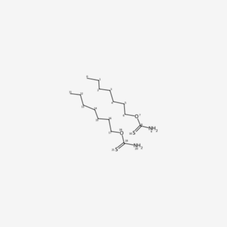 CCCCCCCOC(N)=S.CCCCCCCOC(N)=S